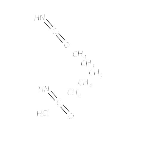 C.C.C.C.C.Cl.N=C=O.N=C=O